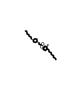 CCCCCCCCc1ccc(OC(=O)CC[C@H]2CC[C@H](CCCCCCC)CC2)cc1F